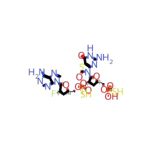 Nc1nc2c(sc(=O)n2[C@@H]2O[C@H](CO[P@@](=O)(O)S)C[C@H]2O[P@@](=O)(S)OC[C@@H]2C[C@@H](F)[C@H](n3cnc4c(N)ncnc43)O2)c(=O)[nH]1